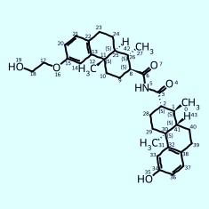 C[C@@H]1[C@@H](C(=O)NC(=O)[C@H]2CC[C@]3(C)c4cc(OCCO)ccc4CC[C@H]3[C@@H]2C)CC[C@]2(C)c3cc(O)ccc3CC[C@@H]12